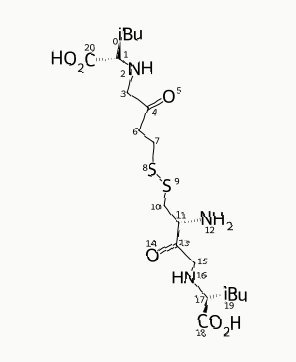 CC[C@H](C)[C@H](NCC(=O)CCSSC[C@H](N)C(=O)CN[C@H](C(=O)O)[C@@H](C)CC)C(=O)O